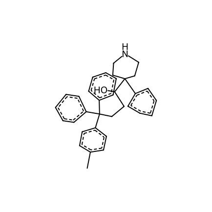 Cc1ccc(C(CCC(O)C2(c3ccccc3)CCNCC2)(c2ccccc2)c2ccccc2)cc1